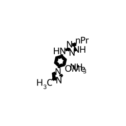 CCCc1nc(Nc2ccc(-n3cnc(C)c3)c(OC)c2)n[nH]1.N